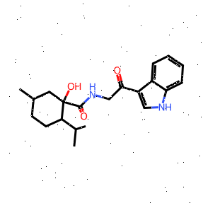 CC1CCC(C(C)C)C(O)(C(=O)NCC(=O)c2c[nH]c3ccccc23)C1